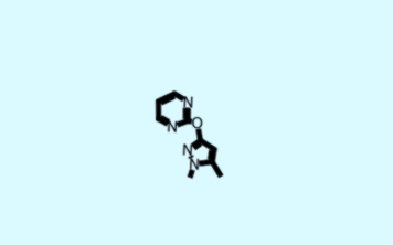 Cc1cc(Oc2ncccn2)nn1C